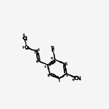 N#Cc1ccc(C=NOCl)c(F)c1